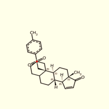 Cc1ccc(S(=O)(=O)C[C@]23CCCCC2CC[C@@H]2[C@@H]3CC[C@]3(C)C(=O)C=C[C@@H]23)cc1